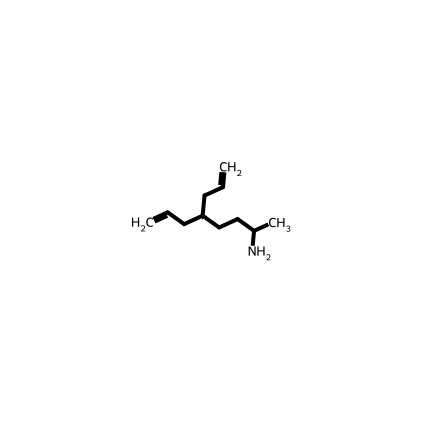 C=CC[C](CC=C)CCC(C)N